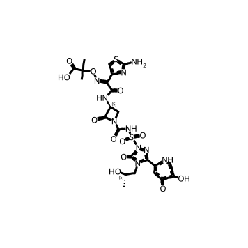 C[C@H](O)Cn1c(-c2cc(=O)c(O)c[nH]2)nn(S(=O)(=O)NC(=O)N2C[C@H](NC(=O)C(=NOC(C)(C)C(=O)O)c3csc(N)n3)C2=O)c1=O